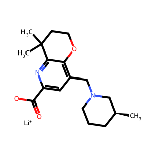 C[C@H]1CCCN(Cc2cc(C(=O)[O-])nc3c2OCCC3(C)C)C1.[Li+]